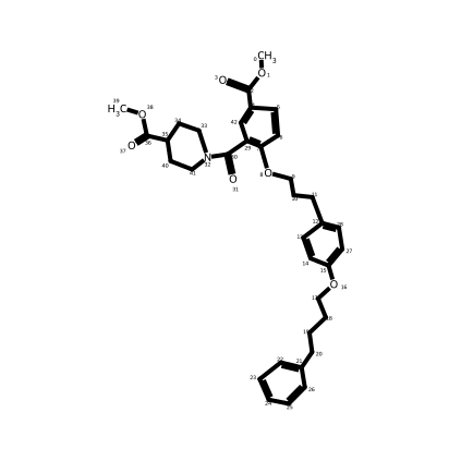 COC(=O)c1ccc(OCCCc2ccc(OCCCCc3ccccc3)cc2)c(C(=O)N2CCC(C(=O)OC)CC2)c1